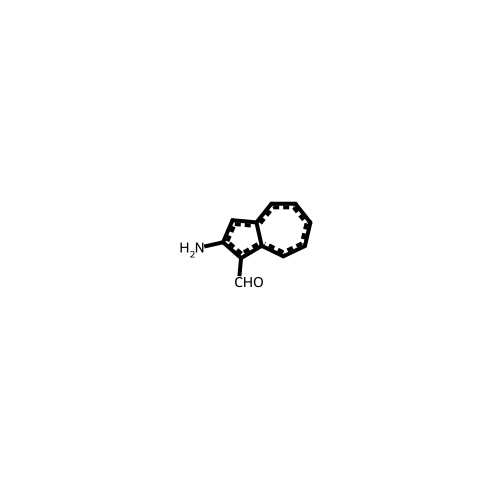 Nc1cc2cccccc-2c1C=O